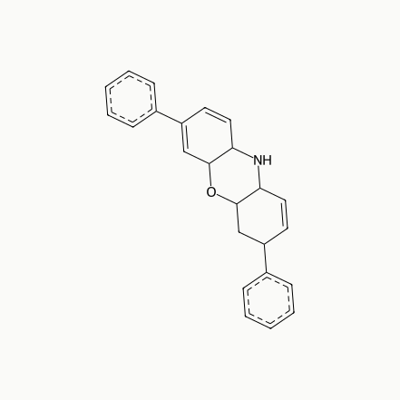 C1=CC2NC3C=CC(c4ccccc4)CC3OC2C=C1c1ccccc1